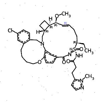 CC[C@@H]1CC/C=C/[C@H](OC)[C@@H]2CC[C@H]2CN2Cc3ccc(Cl)cc3CCCCOc3ccc(cc32)C(=O)N=[S@@]1(=O)NC(=O)CCc1ccnn1C